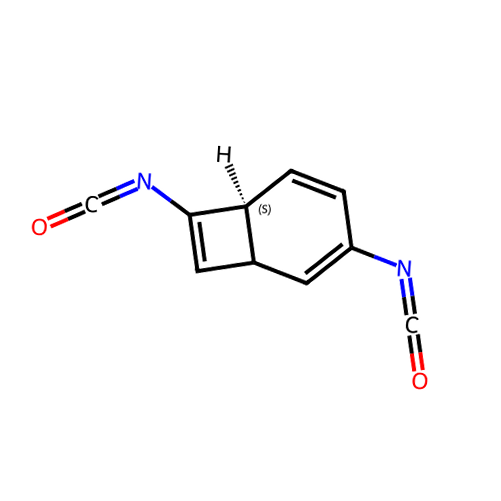 O=C=NC1=CC2C=C(N=C=O)[C@H]2C=C1